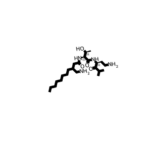 CCCCCCCCC(CN)CC(=O)N[C@H](C(=O)N[C@@H](CCN)C(=O)C(C)C)[C@H](C)O